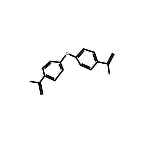 C=C(C)c1ccc(Oc2ccc(C(=C)C)cc2)cc1